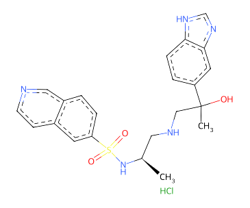 C[C@H](CNCC(C)(O)c1ccc2[nH]cnc2c1)NS(=O)(=O)c1ccc2cnccc2c1.Cl